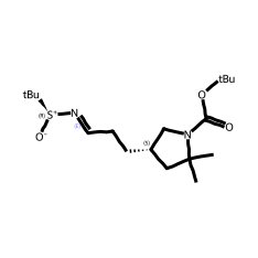 CC(C)(C)OC(=O)N1C[C@@H](CC/C=N/[S@@+]([O-])C(C)(C)C)CC1(C)C